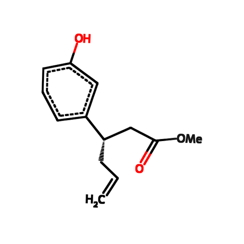 C=CC[C@@H](CC(=O)OC)c1cccc(O)c1